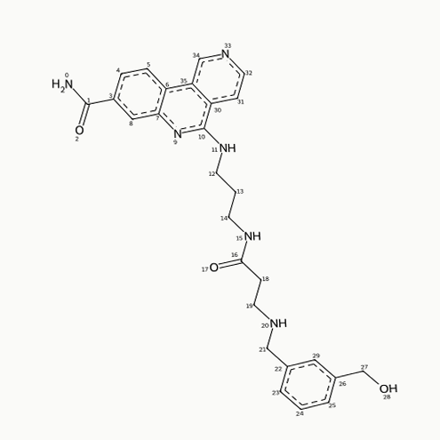 NC(=O)c1ccc2c(c1)nc(NCCCNC(=O)CCNCc1cccc(CO)c1)c1ccncc12